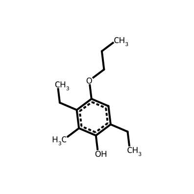 CCCOc1cc(CC)c(O)c(C)c1CC